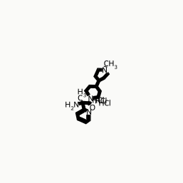 CN1CCC(C2CCN(C(=O)[C@@](C)(N)c3ccccn3)CC2)CC1.Cl.Cl.Cl